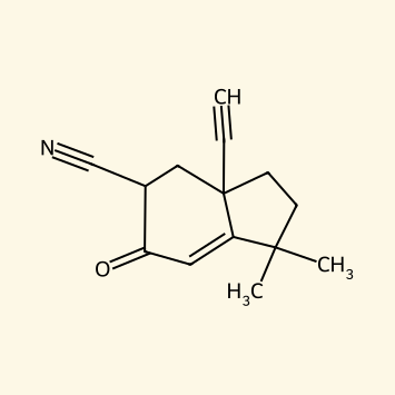 C#CC12CCC(C)(C)C1=CC(=O)C(C#N)C2